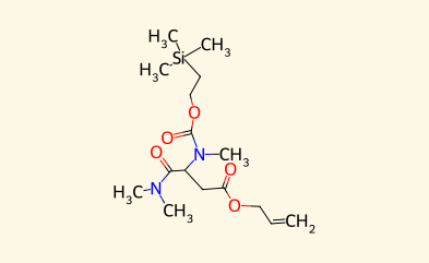 C=CCOC(=O)CC(C(=O)N(C)C)N(C)C(=O)OCC[Si](C)(C)C